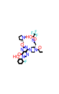 C=CC(=O)N1CCN(c2nc(OC[C@@H]3CCCN3C)nc3c(=O)n(-c4c(O)cccc4F)cnc23)C[C@@H]1CC#N.O=C(O)C(F)(F)F